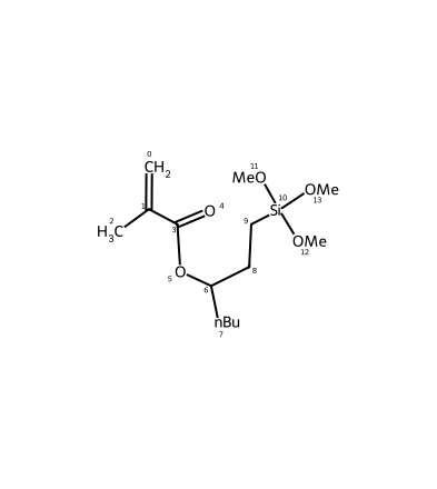 C=C(C)C(=O)OC(CCCC)CC[Si](OC)(OC)OC